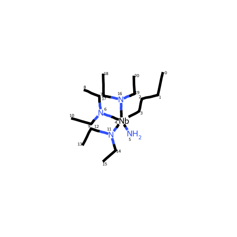 CCC[CH2][Nb]([NH2])([N](CC)CC)([N](CC)CC)[N](CC)CC